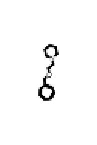 C1=CC=CC=C(COCCN2CCCCC2)C=1